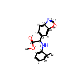 COC(=O)C(Nc1ccccc1C)c1ccc2ncoc2c1